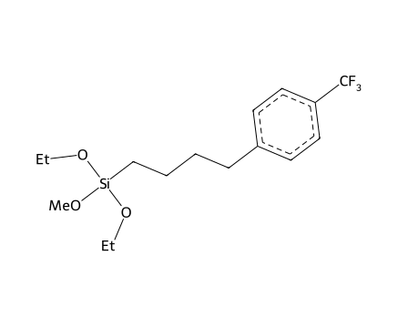 CCO[Si](CCCCc1ccc(C(F)(F)F)cc1)(OC)OCC